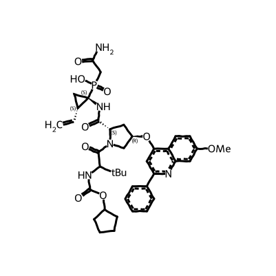 C=C[C@@H]1C[C@]1(NC(=O)[C@@H]1C[C@@H](Oc2cc(-c3ccccc3)nc3cc(OC)ccc23)CN1C(=O)C(NC(=O)OC1CCCC1)C(C)(C)C)P(=O)(O)CC(N)=O